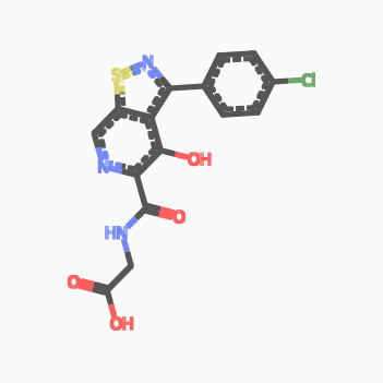 O=C(O)CNC(=O)c1ncc2snc(-c3ccc(Cl)cc3)c2c1O